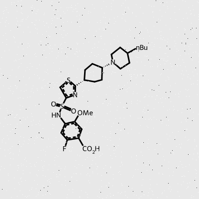 CCCCC1CCN([C@H]2CC[C@@H](c3nc(S(=O)(=O)Nc4cc(F)c(C(=O)O)cc4OC)cs3)CC2)CC1